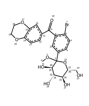 COC1(c2ccc(Br)c(C(=O)c3ccc4c(c3)OCCO4)c2)O[C@H](CO)[C@@H](O)[C@H](O)[C@H]1O